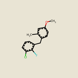 COc1ccc(Cc2cccc(Cl)c2F)c(C)c1